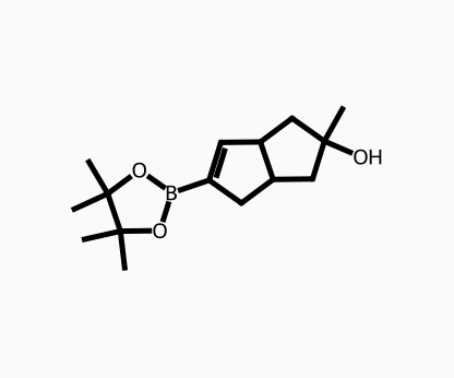 CC1(O)CC2C=C(B3OC(C)(C)C(C)(C)O3)CC2C1